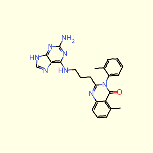 Cc1ccccc1-n1c(CCCNc2nc(N)nc3[nH]cnc23)nc2cccc(C)c2c1=O